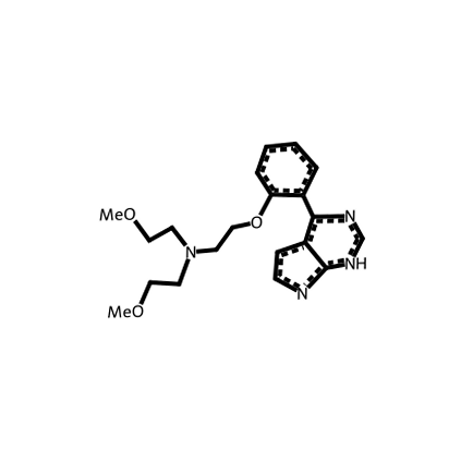 COCCN(CCOC)CCOc1ccccc1-c1nc[nH]c2nccc1-2